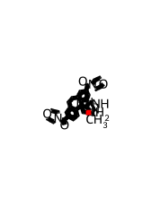 C[C@H](N)CC1(C2N=NNN2)c2ccc(C(=O)N3CCOCC3)cc2CCc2cc(C(=O)N3CCOCC3)ccc21